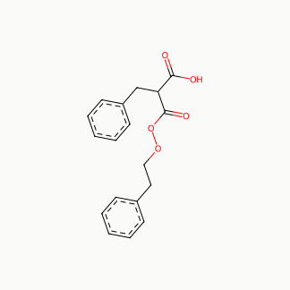 O=C(O)C(Cc1ccccc1)C(=O)OOCCc1ccccc1